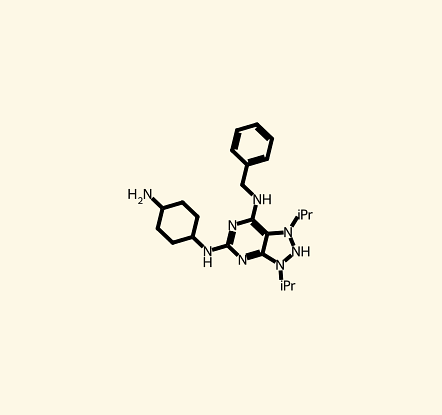 CC(C)N1NN(C(C)C)c2c(NCc3ccccc3)nc(NC3CCC(N)CC3)nc21